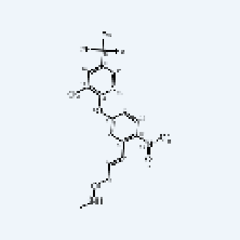 CNOCC=Cc1cc(Oc2ncc(C(F)(F)F)cc2Cl)ccc1[N+](=O)[O-]